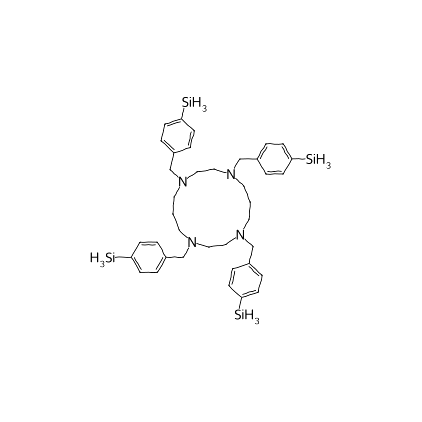 [SiH3]c1ccc(CN2CCCN(Cc3ccc([SiH3])cc3)CCN(Cc3ccc([SiH3])cc3)CCCN(Cc3ccc([SiH3])cc3)CC2)cc1